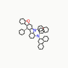 c1ccc(-c2c3c(cc4c2c2cccc(N(c5ccccc5)c5cc6ccccc6c6ccccc56)c2n4-c2ccc4ccccc4c2)oc2ccccc23)cc1